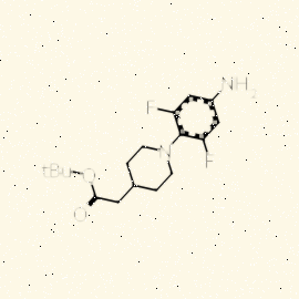 CC(C)(C)OC(=O)CC1CCN(c2c(F)cc(N)cc2F)CC1